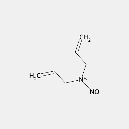 C=CC[N+](CC=C)N=O